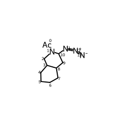 CC(=O)N1CC2CCCCC2CC1N=[N+]=[N-]